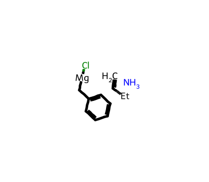 N.[CH2]CC=C.[Cl][Mg][CH2]c1ccccc1